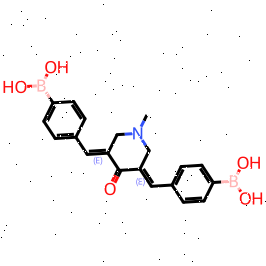 CN1C/C(=C\c2ccc(B(O)O)cc2)C(=O)/C(=C/c2ccc(B(O)O)cc2)C1